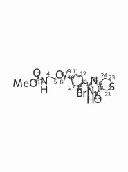 COC(=O)NCCOC(C)(C)c1ccc(-c2nc3c(c(=O)[nH]2)CSCC3)c(Br)c1